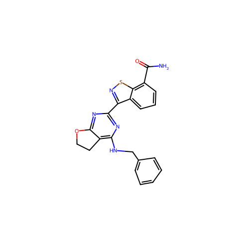 NC(=O)c1cccc2c(-c3nc(NCc4ccccc4)c4c(n3)OCC4)nsc12